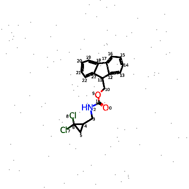 O=C(NCC1CC1(Cl)Cl)OCC1c2ccccc2-c2ccccc21